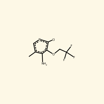 Cc1cnc(Cl)c(OCC(F)(F)F)c1N